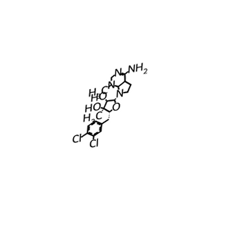 CN1CN=C(N)C2CCN([C@@H]3O[C@H](Cc4ccc(Cl)c(Cl)c4)[C@@](C)(O)[C@H]3O)C21